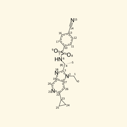 CCn1c([C@@H](C)NS(=O)(=O)c2ccc(C#N)cc2)nc2cnc(C3CC3)cc21